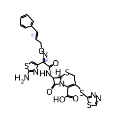 Nc1nc(/C(=N\OC/C=C/c2ccccc2)C(=O)NC2C(=O)N3C(C(=O)O)=C(CSc4nncs4)CS[C@H]23)cs1